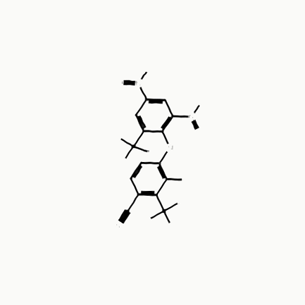 N#Cc1ccc(Nc2c([N+](=O)[O-])cc([N+](=O)[O-])cc2C(F)(F)F)c(Cl)c1C(F)(F)F